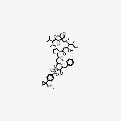 CC[C@H](C)[C@@H](C(CC(=O)N1CCC[C@H]1[C@H](OC)[C@@H](C)C(=O)N[C@@H](Cc1ccccc1)C(=O)NS(=O)(=O)c1ccc(C2(N)CC2)cc1)OC)N(C)CC(C=O)(NC(=O)[C@H](C(C)C)N(C)C)C(C)C